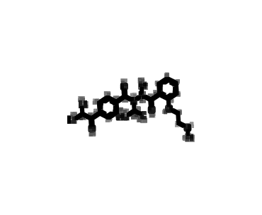 CCOCCOc1ccccc1C(=O)N(CC)N(C(=O)c1ccc(C(=O)C(CC)CC)cc1)C(C)C(C)(C)C